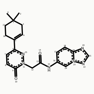 CC1(C)CC=C(c2ccc(=O)n(CC(=O)Nc3ccc4ncnn4c3)n2)CC1